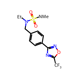 CCN(Cc1ccc(-c2noc(C(F)(F)F)n2)cc1)S(=O)(=O)NC